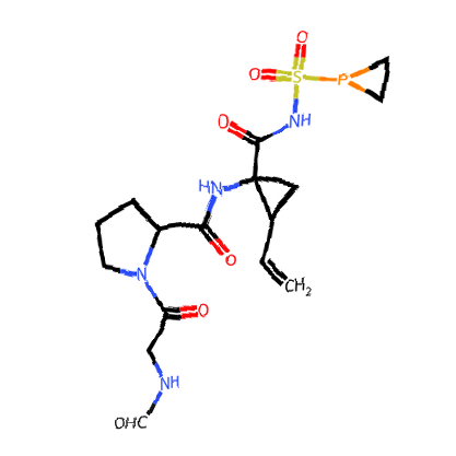 C=CC1CC1(NC(=O)C1CCCN1C(=O)CNC=O)C(=O)NS(=O)(=O)P1CC1